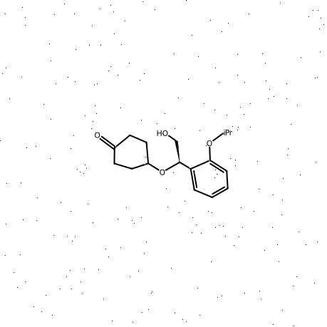 CC(C)Oc1ccccc1[C@H](CO)OC1CCC(=O)CC1